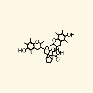 Cc1c(C)c2c(c(C)c1O)CC(CCC1(C(=O)O)C3CCC(C3)C1(CCC1Cc3c(C)c(O)c(C)c(C)c3OC1C)C(=O)O)C(C)O2